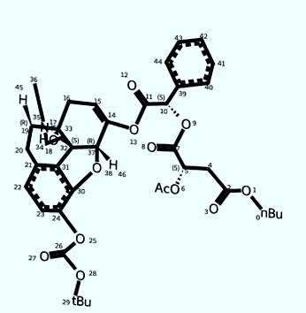 CCCCOC(=O)C[C@H](OC(C)=O)C(=O)O[C@H](C(=O)OC1=CC[C@@]2(O)[C@H]3Cc4ccc(OC(=O)OC(C)(C)C)c5c4[C@@]2(CCN3C)[C@H]1O5)c1ccccc1